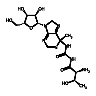 C[C@@H](O)[C@H](N)C(=O)NC(=O)NC1(C)N=CN=C2C1=NCN2[C@@H]1O[C@H](CO)[C@@H](O)[C@H]1O